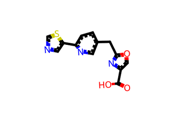 O=C(O)c1coc(Cc2ccc(-c3cncs3)nc2)n1